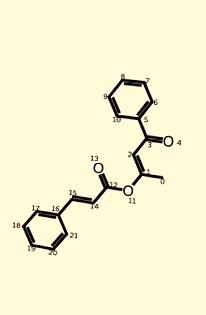 C/C(=C\C(=O)c1ccccc1)OC(=O)/C=C/c1ccccc1